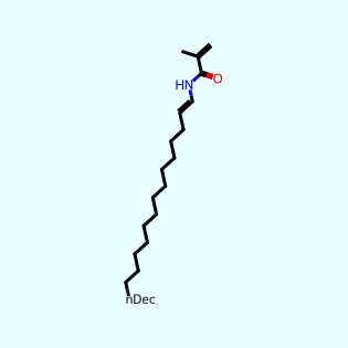 C=C(C)C(=O)NC=CCCCCCCCCCCCCCCCCCCCCCC